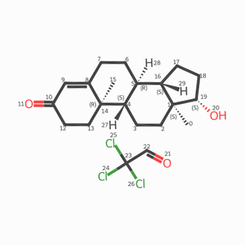 C[C@]12CC[C@H]3[C@@H](CCC4=CC(=O)CC[C@@]43C)[C@@H]1CC[C@@H]2O.O=CC(Cl)(Cl)Cl